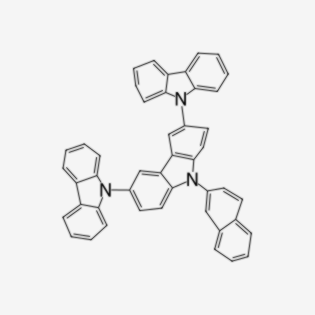 c1ccc2cc(-n3c4ccc(-n5c6ccccc6c6ccccc65)cc4c4cc(-n5c6ccccc6c6ccccc65)ccc43)ccc2c1